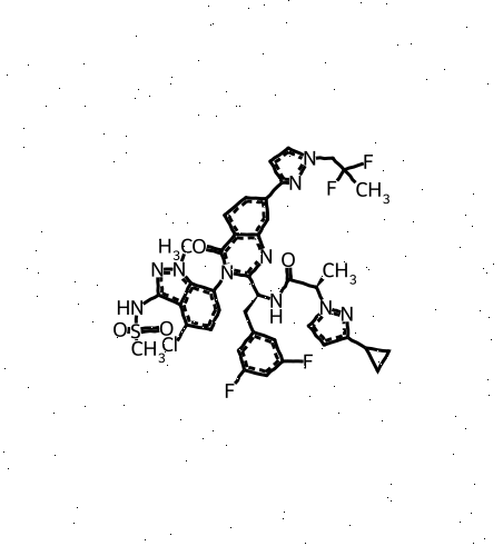 C[C@H](C(=O)N[C@@H](Cc1cc(F)cc(F)c1)c1nc2cc(-c3ccn(CC(C)(F)F)n3)ccc2c(=O)n1-c1ccc(Cl)c2c(NS(C)(=O)=O)nn(C)c12)n1ccc(C2CC2)n1